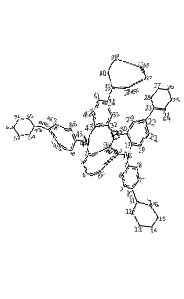 c1cc2c3c(c1)N(c1ccc(C4CCCCC4)cc1)c1ccc(C4CCCCC4)cc1B3c1cc(C3CCCCC3)ccc1N2c1ccc(C2CCCCC2)cc1